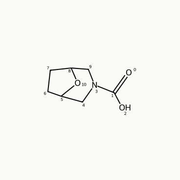 O=C(O)N1CC2CCC(C1)O2